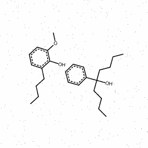 CCCCC(O)(CCCC)c1ccccc1.CCCCc1cccc(OC)c1O